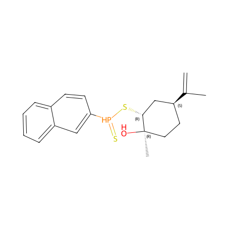 C=C(C)[C@H]1CC[C@@](C)(O)[C@H](S[PH](=S)c2ccc3ccccc3c2)C1